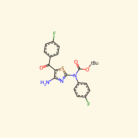 CC(C)(C)OC(=O)N(c1ccc(F)cc1)c1nc(N)c(C(=O)c2ccc(F)cc2)s1